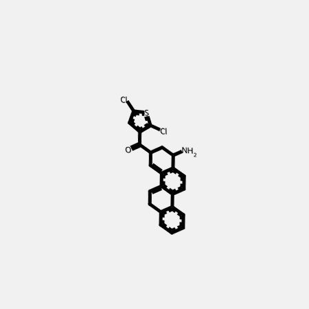 NC1CC(C(=O)c2cc(Cl)sc2Cl)C=c2c1ccc1c2=CCc2ccccc2-1